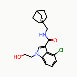 O=C(NCC12CCC(CC1)CC2)c1cn(CCO)c2cccc(Cl)c12